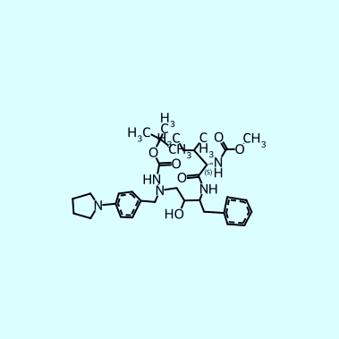 CCC(C)[C@H](NC(=O)OC)C(=O)NC(Cc1ccccc1)C(O)CN(Cc1ccc(N2CCCC2)cc1)NC(=O)OC(C)(C)C